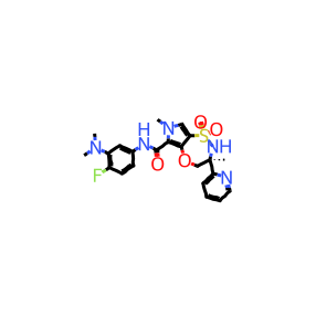 CN(C)c1cc(NC(=O)c2c3c(cn2C)S(=O)(=O)N[C@@](C)(c2ccccn2)CO3)ccc1F